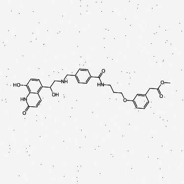 COC(=O)Cc1cccc(OCCCNC(=O)c2ccc(CNCC(O)c3ccc(O)c4[nH]c(=O)ccc34)cc2)c1